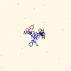 COc1cc(C(=O)N2C[C@H]3CC[C@@H]2[C@@H]3N)cc2nc(-c3cc4ccccc4n3CC3CC3)n(CC3CN(C(=O)c4ccc(C)cc4)C3)c12